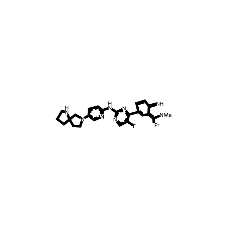 CN/C(=C1/C=C(c2nc(Nc3ccc(N4CCC5(CCCN5)C4)cn3)ncc2F)C=CC1=N)C(C)C